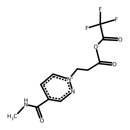 CNC(=O)c1cc[n+](CCC(=O)OC(=O)C(F)(F)F)nc1